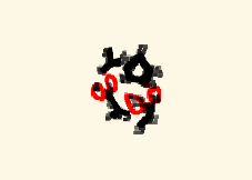 C=C(C)C(=O)OCC(C)C.C=CC(=O)OC1CCCC1